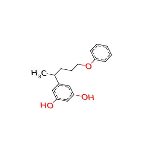 CC(CCCOc1ccccc1)c1cc(O)cc(O)c1